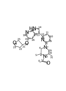 CC(=O)N1C(C)CN(c2cccc(-c3c[nH]c4ncc(OC5CCOC5)cc34)n2)CC1C